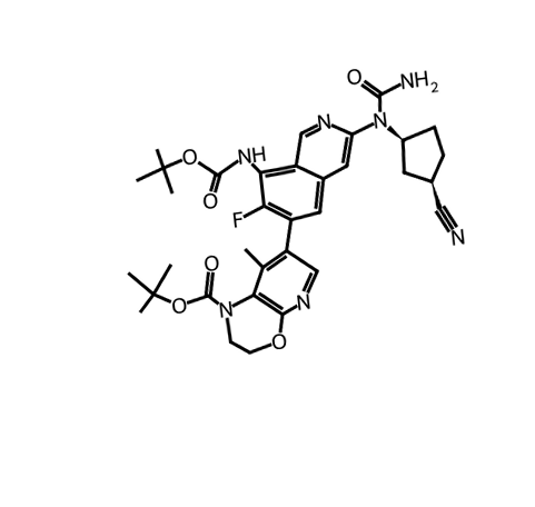 Cc1c(-c2cc3cc(N(C(N)=O)[C@H]4CC[C@@H](C#N)C4)ncc3c(NC(=O)OC(C)(C)C)c2F)cnc2c1N(C(=O)OC(C)(C)C)CCO2